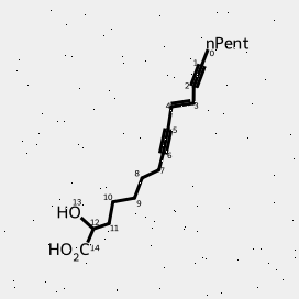 CCCCCC#CC=CC#CCCCCCC(O)C(=O)O